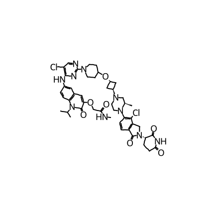 CNC(=O)COc1cc2cc(Nc3nc(N4CCC(O[C@H]5C[C@H](N6CCN(c7ccc8c(c7Cl)CN([C@H]7CCC(=O)NC7=O)C8=O)[C@H](C)C6)C5)CC4)ncc3Cl)ccc2n(C(C)C)c1=O